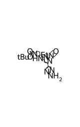 CCC1(Nc2cc(-c3cnc(N)nc3)nc(N3CCOCC3)n2)CCN(C(=O)OC(C)(C)C)C1